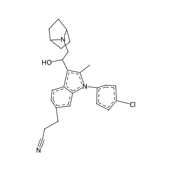 Cc1c(C(O)CN2C3CCC2CC3)c2ccc(CCC#N)cc2n1-c1ccc(Cl)cc1